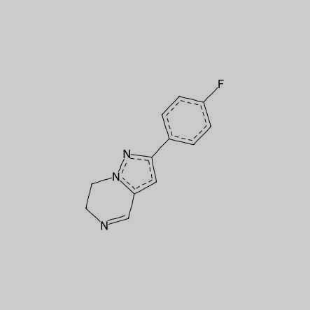 Fc1ccc(-c2cc3n(n2)CCN=C3)cc1